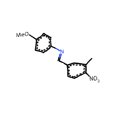 COc1ccc(N=[C]c2ccc([N+](=O)[O-])c(C)c2)cc1